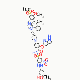 COc1ccc(CN2CCN(C3CC4(CCN(c5ccc(C(=O)NS(=O)(=O)c6ccc(NCC7CCC(C)(O)CC7)c([N+](=O)[O-])c6)c(Oc6cnc7[nH]ccc7c6)c5)CC4)C3)C(c3ccccc3C(C)C)C2)cc1S(C)(=O)=O